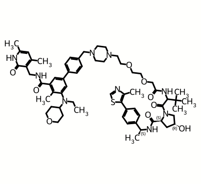 CCN(c1cc(-c2ccc(CN3CCN(CCOCCOCC(=O)NC(C(=O)N4C[C@H](O)C[C@H]4C(=O)N[C@@H](C)c4ccc(-c5scnc5C)cc4)C(C)(C)C)CC3)cc2)cc(C(=O)NCc2c(C)cc(C)[nH]c2=O)c1C)C1CCOCC1